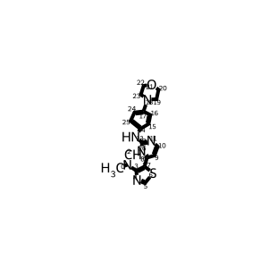 CN(C)c1ncsc1-c1ccnc(Nc2ccc(N3CCOCC3)cc2)n1